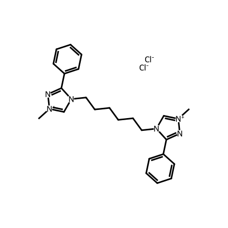 C[n+]1cn(CCCCCCn2c[n+](C)nc2-c2ccccc2)c(-c2ccccc2)n1.[Cl-].[Cl-]